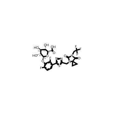 O=C(O)[C@H]1O[C@@H](Oc2c(F)ccc(-c3nnc(CN4C(=O)N(CC(F)(F)F)C(=O)C45CC5)s3)c2F)[C@H](O)[C@@H](O)[C@@H]1O